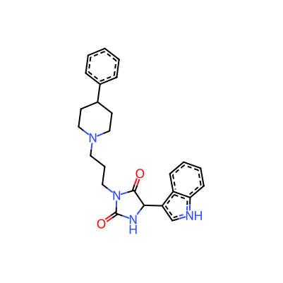 O=C1NC(c2c[nH]c3ccccc23)C(=O)N1CCCN1CCC(c2ccccc2)CC1